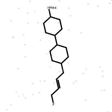 CCCCCCC1CCC(C2CCC(C/C=C/CF)CC2)CC1